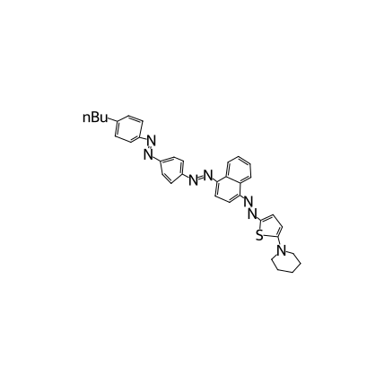 CCCCc1ccc(N=Nc2ccc(N=Nc3ccc(N=Nc4ccc(N5CCCCC5)s4)c4ccccc34)cc2)cc1